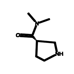 CN(C)C(=O)[C@H]1CCNC1